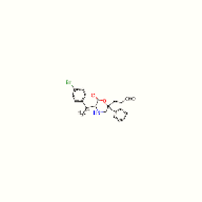 C[C@@H](c1ccc(Br)cc1)C1NCC(CCC=O)(c2ccccc2)OC1=O